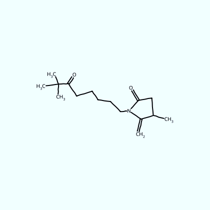 C=C1C(C)CC(=O)N1CCCCCC(=O)C(C)(C)C